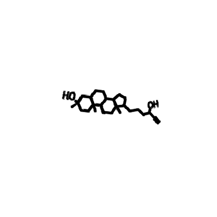 C#CC(O)CCCC1CCC2C3CCC4C[C@@](C)(O)CCC4(C)C3CCC12C